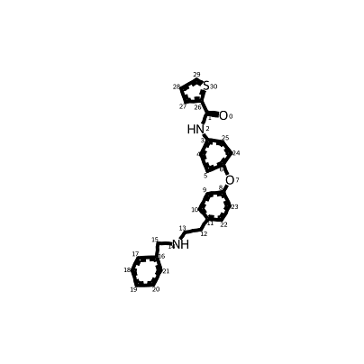 O=C(Nc1ccc(Oc2ccc(CCNCc3ccccc3)cc2)cc1)c1cccs1